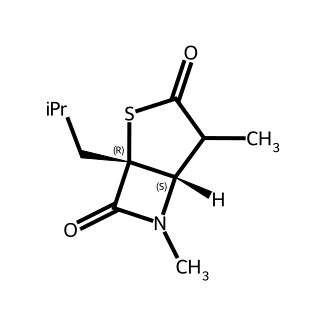 CC(C)C[C@@]12SC(=O)C(C)[C@@H]1N(C)C2=O